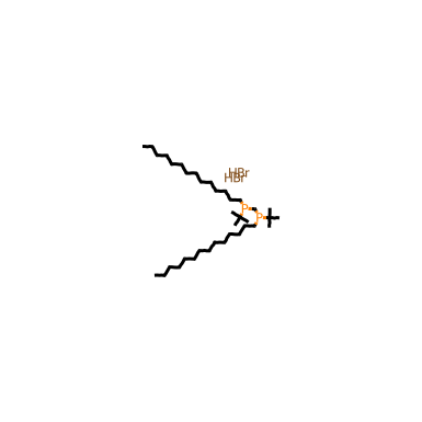 Br.Br.CCCCCCCCCCCCCCP(CP(CCCCCCCCCCCCCC)C(C)(C)C)C(C)(C)C